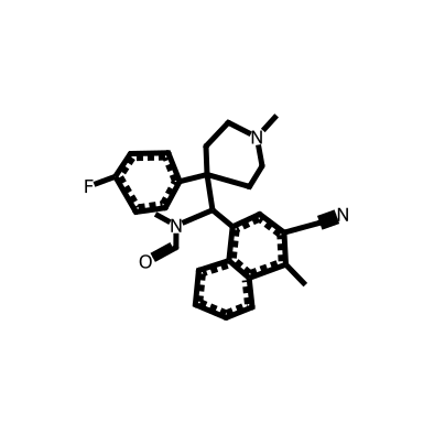 Cc1c(C#N)cc(C(N(C)C=O)C2(c3ccc(F)cc3)CCN(C)CC2)c2ccccc12